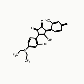 C=c1cc/c(=C2/C(=O)C(=O)C(c3ccc(N(CC(F)(F)F)CC(F)(F)F)cc3O)=C2O)c(O)c1